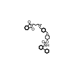 CN(CCCN1C(=O)c2ccccc2C1=O)Cc1ccc(CN2CCC(OC(=O)Nc3ccccc3-c3ccccc3)CC2)cc1